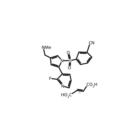 CNCc1cc(-c2cccnc2F)n(S(=O)(=O)c2cccc(C#N)c2)c1.O=C(O)/C=C/C(=O)O